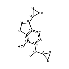 CC(c1ccc2c(c1O)CCC2C1CC1)C1CC1